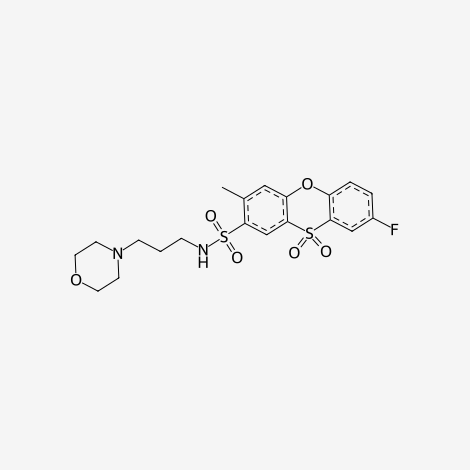 Cc1cc2c(cc1S(=O)(=O)NCCCN1CCOCC1)S(=O)(=O)c1cc(F)ccc1O2